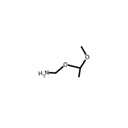 COC(C)OCN